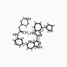 C=C(CC1CCNCC1)Nc1cncc(-c2ccc3[nH]nc(-c4nc5c(-c6ccsc6)cccc5[nH]4)c3n2)c1